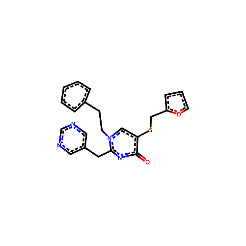 O=c1nc(Cc2cncnc2)n(CCc2ccccc2)cc1SCc1ccco1